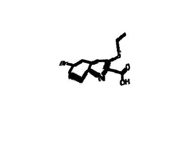 CCSc1cc2cc(Br)ccc2nc1C(=O)O